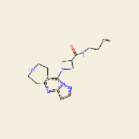 COCCNC(=O)C1CN(c2c3c(nc4ccnn24)CCNCC3)C1